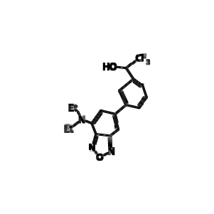 CCN(CC)c1cc(-c2cccc(C(O)C(F)(F)F)c2)cc2nonc12